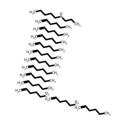 C=CCCCC.C=CCCCC.C=CCCCC.C=CCCCC.C=CCCCC.C=CCCCC.C=CCCCC.C=CCCCC.C=CCCCC.C=CCCCC.C=CCCCC.C=CCCCC.CCCCCNCCC